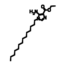 CCCCCCCCCCCCCCn1cnc(C(=O)OCC)c1N